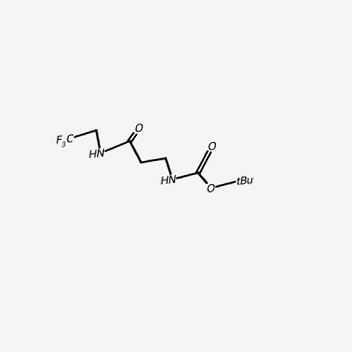 CC(C)(C)OC(=O)NCCC(=O)NCC(F)(F)F